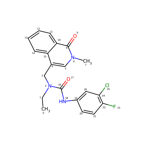 CCN(Cc1cn(C)c(=O)c2ccccc12)C(=O)Nc1ccc(F)c(Cl)c1